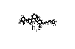 COc1cc2c(NC3CCN(c4cccc(F)c4F)CC3)c3c(nc2cc1OCCCN1CCCC1)CCCC3